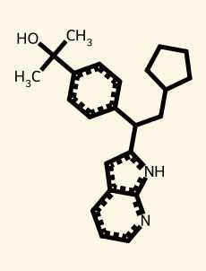 CC(C)(O)c1ccc(C(CC2CCCC2)c2cc3cccnc3[nH]2)cc1